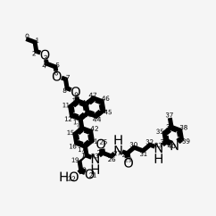 CCCOCCOCCOc1ccc(-c2ccc([C@H](CC(=O)O)NC(=O)CNC(=O)CCCNc3cc(C)ccn3)cc2)c2ccccc12